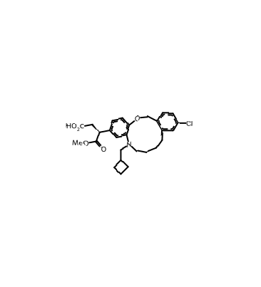 COC(=O)[C@@H](CC(=O)O)c1ccc2c(c1)N(CC1CCC1)CCCCc1cc(Cl)ccc1CO2